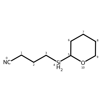 N#CCCC[SiH2]C1CCCCO1